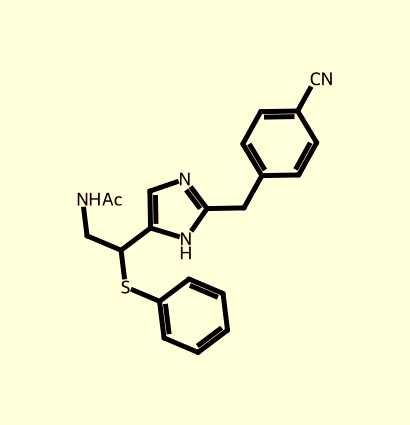 CC(=O)NCC(Sc1ccccc1)c1cnc(Cc2ccc(C#N)cc2)[nH]1